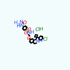 Cl.NC(=O)Nc1ccc(S(=O)(=O)NCCOc2ccc3c(c2)C(C2(c4ccc(Cl)cc4)CCC2)NCC3)cc1